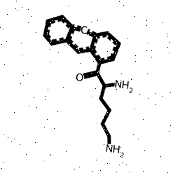 NCCCCC(N)C(=O)c1cccc2cc3ccccc3cc12